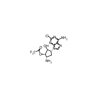 Nc1nc(Cl)nc2c1ncn2[C@@H]1C[C@H](N)[C@@H](OC(=O)C(F)(F)F)[C@H]1O